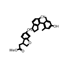 COC(=O)CC1COc2cc(O[C@@H]3CCc4c3ccc(C#N)c4-c3c(C)cc(O)cc3C)ccc21